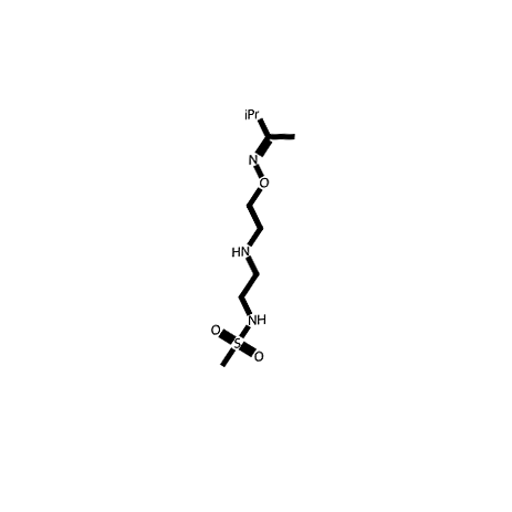 C/C(=N\OCCNCCNS(C)(=O)=O)C(C)C